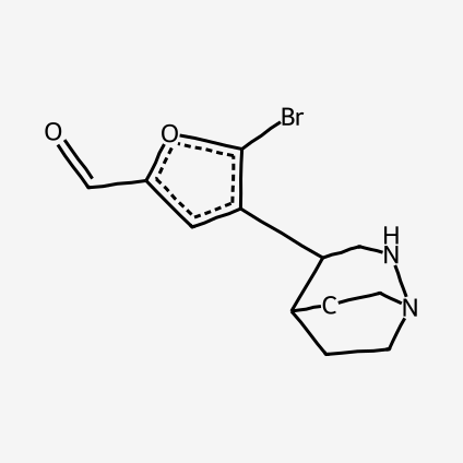 O=Cc1cc(C2CNN3CCC2CC3)c(Br)o1